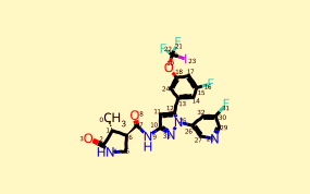 C[C@H]1C(=O)NC[C@@H]1C(=O)Nc1cc(-c2cc(F)cc(OC(F)(F)I)c2)n(-c2cncc(F)c2)n1